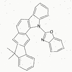 CC1(C)c2ccccc2-c2cc3c(ccc4c5ccccc5n(-c5nc6ccccc6o5)c34)cc21